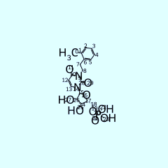 Cc1ccccc1CCn1c(=O)ccn([C@@H]2O[C@H](COP(=O)(O)O)[C@H](O)[C@@H]2O)c1=O